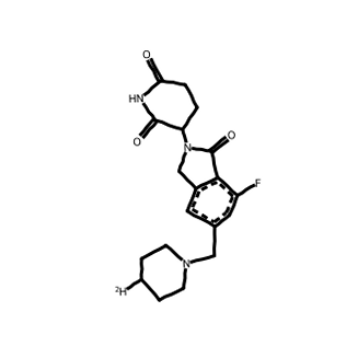 [2H]C1CCN(Cc2cc(F)c3c(c2)CN(C2CCC(=O)NC2=O)C3=O)CC1